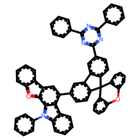 c1ccc(-c2nc(-c3ccccc3)nc(-c3ccc4c(c3)-c3cc(-c5cc6c7ccccc7oc6c6c5c5ccccc5n6-c5ccccc5)ccc3C43c4ccccc4Oc4ccccc43)n2)cc1